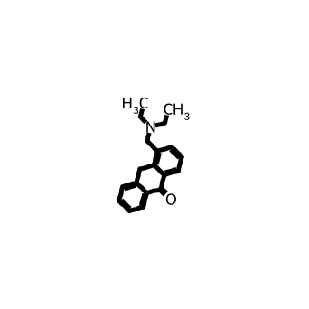 CCN(CC)Cc1cccc2c1Cc1ccccc1C2=O